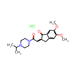 COc1cc2c(cc1OC)C(=O)/C(=C\C(=O)N1CCN(C(C)C)CC1)C2.Cl